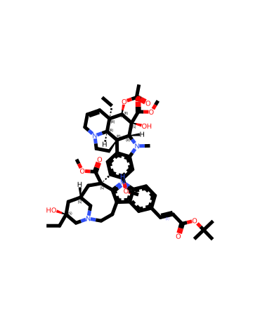 CC[C@]1(O)C[C@H]2CN(CCc3c([nH]c4ccc(/C=C/C(=O)OC(C)(C)C)cc34)[C@@](C(=O)OC)(c3cc4c(cc3OC)N(C)[C@H]3[C@@](O)(C(=O)OC)[C@H](OC(C)=O)[C@]5(CC)C=CCN6CC[C@]43[C@@H]65)C2)C1